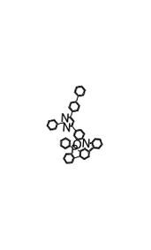 O=P1(c2ccccc2)c2ccccc2-c2ccc3c4ccccc4n(-c4ccc(-c5cc(-c6ccc(-c7ccccc7)cc6)nc(-c6ccccc6)n5)cc4)c3c21